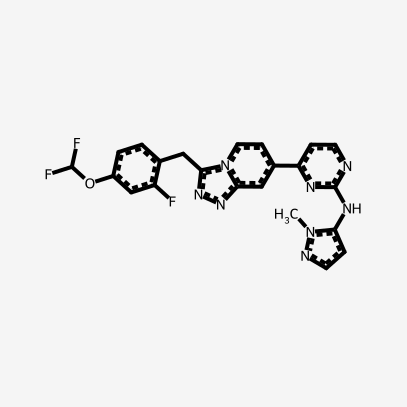 Cn1nccc1Nc1nccc(-c2ccn3c(Cc4ccc(OC(F)F)cc4F)nnc3c2)n1